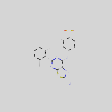 Cc1cccc(C)c1-c1nc(Nc2ccc(S(C)(=O)=O)c(F)c2)c2nc(N)sc2n1